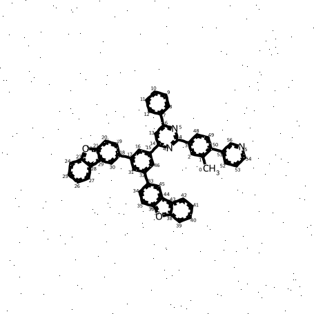 Cc1cc(-c2nc(-c3ccccc3)cc(-c3cc(-c4ccc5oc6ccccc6c5c4)cc(-c4ccc5oc6ccccc6c5c4)c3)n2)ccc1-c1cccnc1